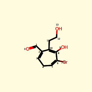 O=CC1=CCC=C(Br)C(O)=C1CCO